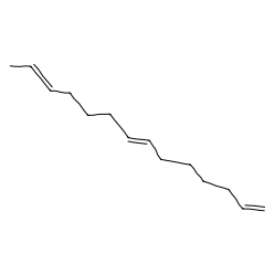 C=CCCCCC=CCCCC=CC